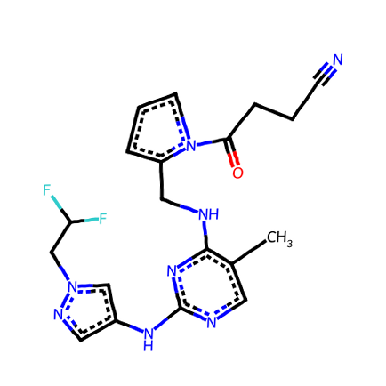 Cc1cnc(Nc2cnn(CC(F)F)c2)nc1NCc1cccn1C(=O)CCC#N